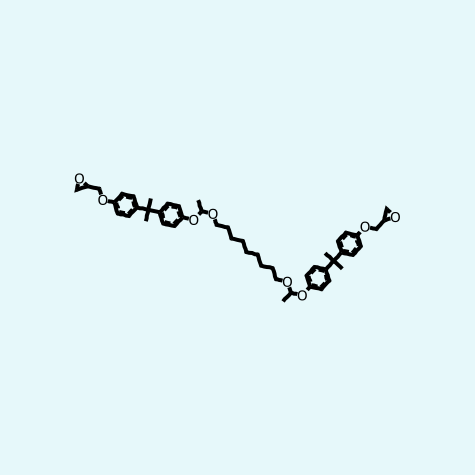 CC(OCCCCCCCCCOC(C)Oc1ccc(C(C)(C)c2ccc(OCC3CO3)cc2)cc1)Oc1ccc(C(C)(C)c2ccc(OCC3CO3)cc2)cc1